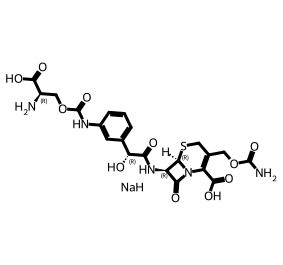 NC(=O)OCC1=C(C(=O)O)N2C(=O)[C@@H](NC(=O)[C@H](O)c3cccc(NC(=O)OC[C@@H](N)C(=O)O)c3)[C@H]2SC1.[NaH]